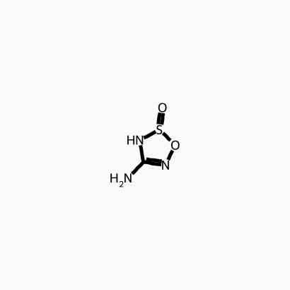 NC1=NOS(=O)N1